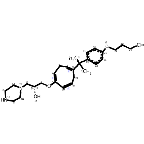 CC(C)(/C1=C/C/C=C(OC[C@H](O)CN2CCNCC2)\C=C/C1)c1ccc(OCCCCl)cc1